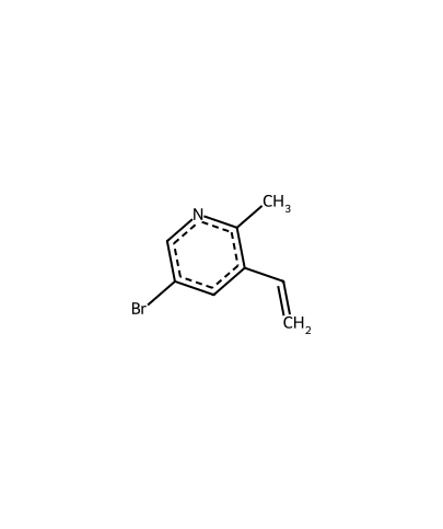 C=Cc1cc(Br)cnc1C